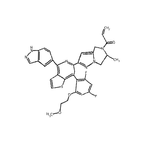 C=CC(=O)N1Cc2cc(-c3nc(-c4ccc5[nH]ncc5c4)c4ccsc4c3-c3c(F)cc(F)cc3OCCOC)nn2CC1C